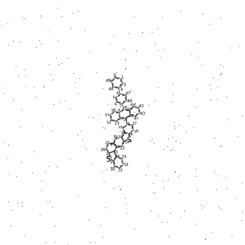 c1ccc(-c2ccc(-c3c4ccccc4c(-c4ccc5sc6cc7c(ccc8sc9ccccc9c87)cc6c5c4)c4ccccc34)cc2)cc1